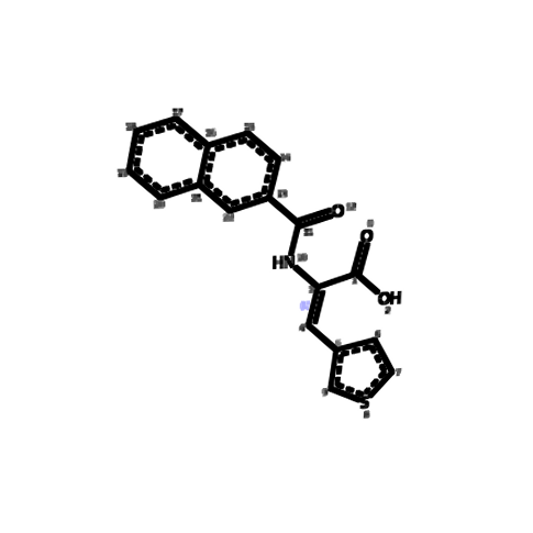 O=C(O)/C(=C\c1ccsc1)NC(=O)c1ccc2ccccc2c1